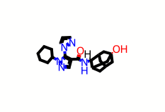 O=C(N[C@H]1C2CC3CC1C[C@](O)(C3)C2)c1cnn(C2CCCCC2)c1-n1cccn1